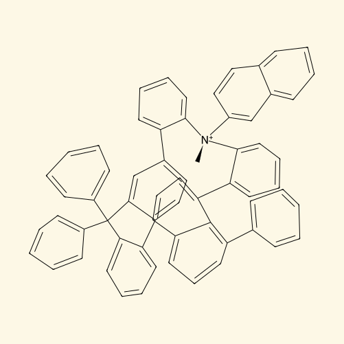 C[N@+](c1ccc2ccccc2c1)(c1ccccc1-c1ccc2c(c1)C(c1ccccc1)(c1ccccc1)c1ccccc1-2)c1ccccc1-c1cccc2cccc(-c3ccccc3)c12